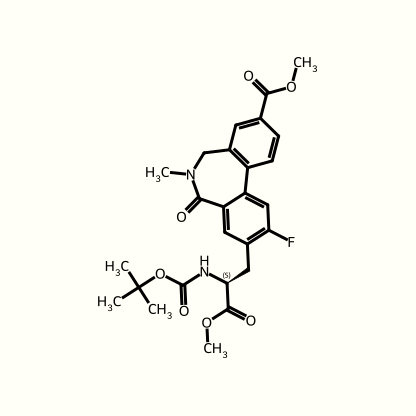 COC(=O)c1ccc2c(c1)CN(C)C(=O)c1cc(C[C@H](NC(=O)OC(C)(C)C)C(=O)OC)c(F)cc1-2